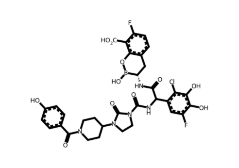 O=C(O)c1c(F)ccc2c1OB(O)[C@@H](NC(=O)C(NC(=O)N1CCN(C3CCN(C(=O)c4ccc(O)cc4)CC3)C1=O)c1cc(F)c(O)c(O)c1Cl)C2